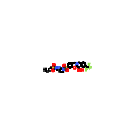 C=CS(=O)(=O)NC[C@H]1CCN(S(=O)(=O)c2ccc(CN(Cc3ccc(C(F)(F)F)cc3)C(=O)CO)cc2)C1